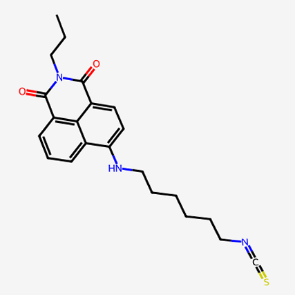 CCCN1C(=O)c2cccc3c(NCCCCCCN=C=S)ccc(c23)C1=O